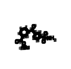 CCCCOC(=O)c1cccc(C(=O)c2cc(S(N)(=O)=O)cs2)c1